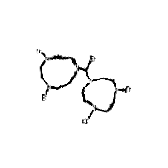 CCC(N1CCN(CC)CCN(CC)CC1)N1CCN(CC)CCN(CC)CC1